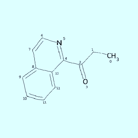 CCC(=O)c1nccc2ccccc12